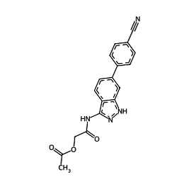 CC(=O)OCC(=O)Nc1n[nH]c2cc(-c3ccc(C#N)cc3)ccc12